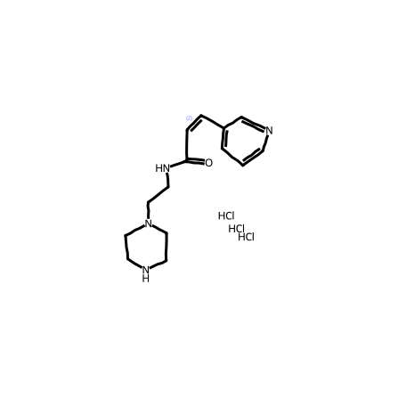 Cl.Cl.Cl.O=C(/C=C\c1cccnc1)NCCN1CCNCC1